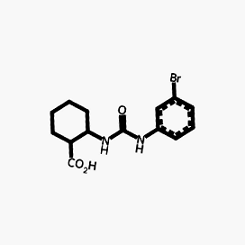 O=C(Nc1cccc(Br)c1)NC1CCCCC1C(=O)O